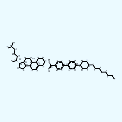 CCCCCCCCC1CCC(c2ccc(-c3ccc(C(=O)O[C@H]4CC[C@@]5(C)C(=CCC6C5CC[C@@]5(C)C6CC[C@@H]5C(C)CCCC(C)C)C4)cc3)cc2)CC1